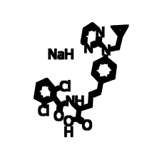 O=C(NC(CC=Cc1ccc(N(CC2CC2)c2ncccn2)cc1)C(=O)O)c1c(Cl)cccc1Cl.[NaH]